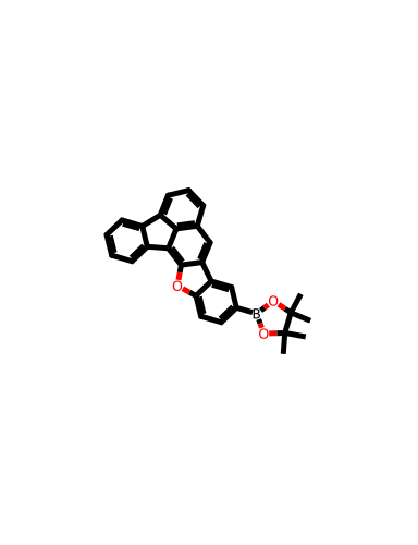 CC1(C)OB(c2ccc3oc4c5c6c(cccc6cc4c3c2)-c2ccccc2-5)OC1(C)C